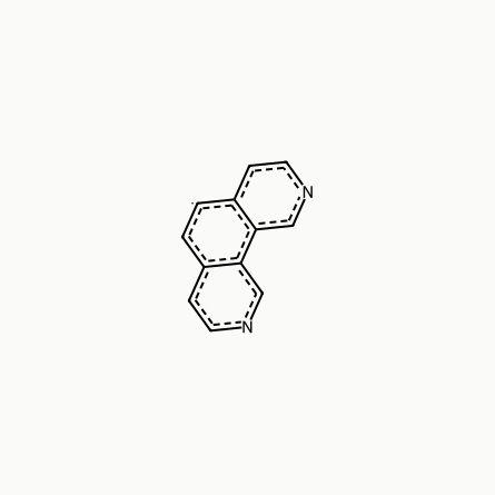 [c]1cc2ccncc2c2cnccc12